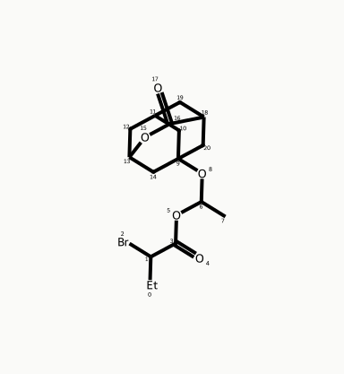 CCC(Br)C(=O)OC(C)OC12CC3CC(C1)OC(=O)C(C3)C2